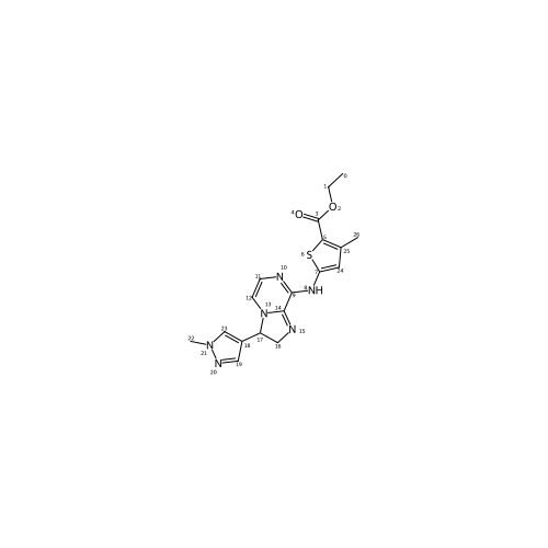 CCOC(=O)c1sc(NC2=NC=CN3C2=NCC3c2cnn(C)c2)cc1C